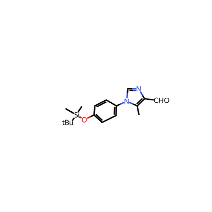 Cc1c(C=O)ncn1-c1ccc(O[Si](C)(C)C(C)(C)C)cc1